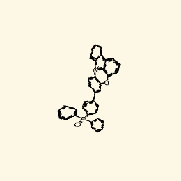 O=P(c1ccccc1)(c1ccccc1)c1ccc(-c2ccc3c(c2)Oc2cccc4c5ccccc5n-3c24)cc1